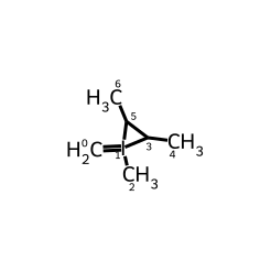 C=I1(C)C(C)C1C